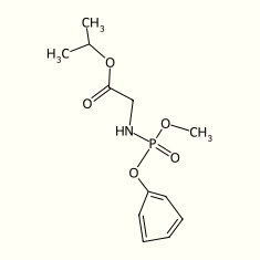 COP(=O)(NCC(=O)OC(C)C)Oc1ccccc1